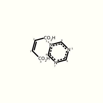 O=C(O)/C=C\C(=O)O.c1ncncn1